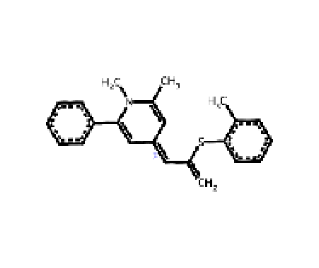 C=C(/C=C1\C=C(C)N(C)C(c2ccccc2)=C1)Sc1ccccc1C